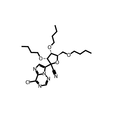 CCCCOC[C@H]1OC(C#N)(c2cnc3c(Cl)ncnn23)[C@H](OCCCC)[C@@H]1OCCCC